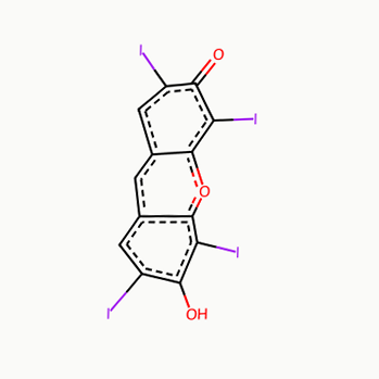 O=c1c(I)cc2cc3cc(I)c(O)c(I)c3oc-2c1I